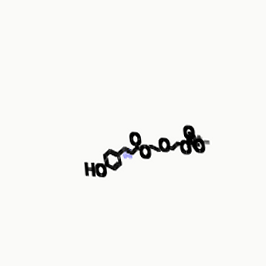 O=C(/C=C/c1ccc(O)cc1)OCCOCCO[N+](=O)[O-]